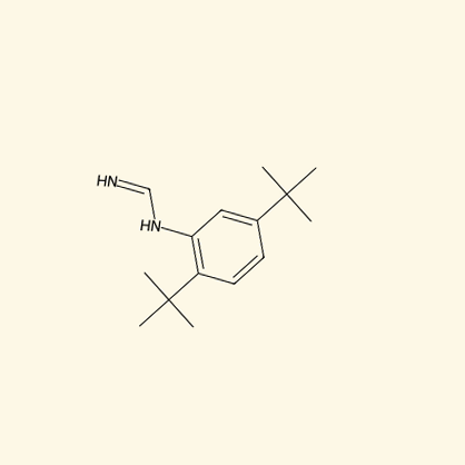 CC(C)(C)c1ccc(C(C)(C)C)c(NC=N)c1